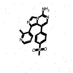 Cc1ncccc1-c1ncn2c(N)ncc(-c3ccc(S(C)(=O)=O)cc3)c12